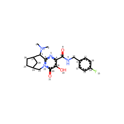 CN(C)C1c2nc(C(=O)NCc3ccc(F)cc3)c(O)c(=O)n2CC2CCC1C2